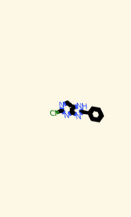 Clc1ncc2[nH]c(-c3ccccc3)nc2n1